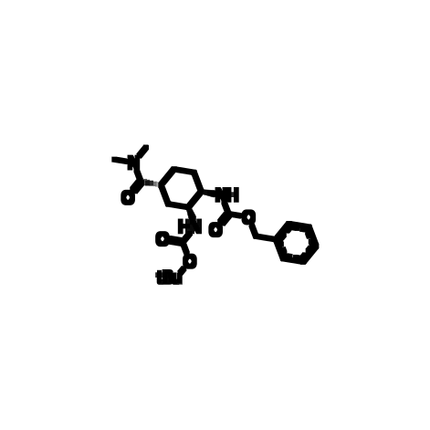 CN(C)C(=O)[C@@H]1CC[C@@H](NC(=O)OCc2ccccc2)[C@@H](NC(=O)OC(C)(C)C)C1